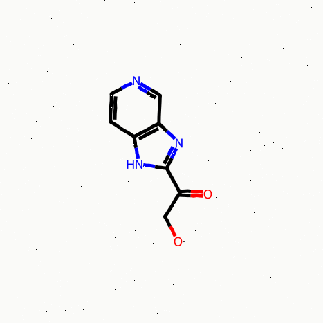 [O]CC(=O)c1nc2cnccc2[nH]1